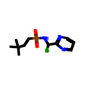 C[Si](C)(C)CCS(=O)(=O)N[C](Br)c1ncccn1